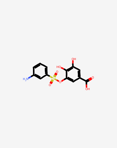 Nc1cccc(S(=O)(=O)Oc2cc(C(=O)O)cc(O)c2O)c1